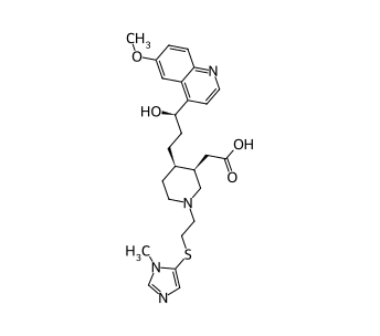 COc1ccc2nccc([C@H](O)CC[C@@H]3CCN(CCSc4cncn4C)C[C@@H]3CC(=O)O)c2c1